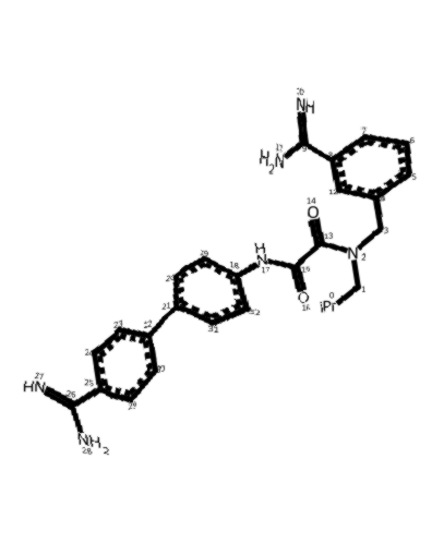 CC(C)CN(Cc1cccc(C(=N)N)c1)C(=O)C(=O)Nc1ccc(-c2ccc(C(=N)N)cc2)cc1